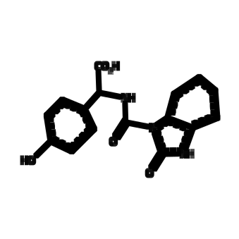 O=C(O)C(NC(=O)n1c(=O)[nH]c2ccccc21)c1ccc(O)cc1